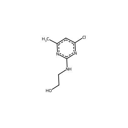 Cc1cc(Cl)nc(NCCO)n1